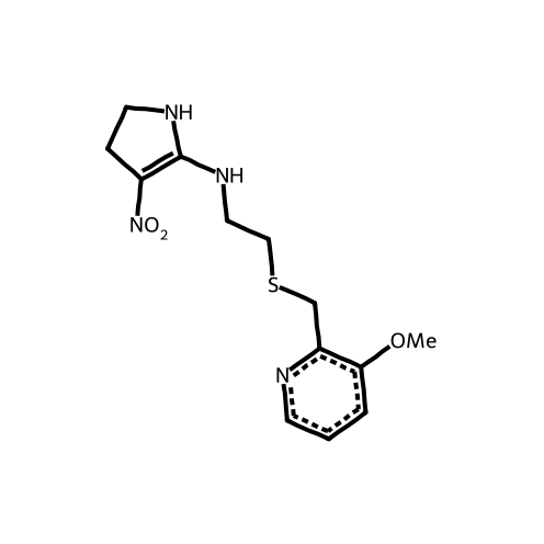 COc1cccnc1CSCCNC1=C([N+](=O)[O-])CCN1